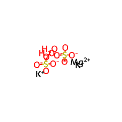 O.O.O=S(=O)([O-])[O-].O=S(=O)([O-])[O-].[K+].[K+].[Mg+2]